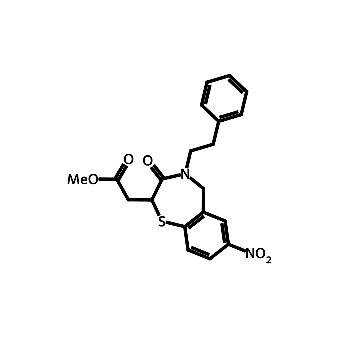 COC(=O)CC1Sc2ccc([N+](=O)[O-])cc2CN(CCc2ccccc2)C1=O